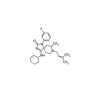 CC(C)=CCN1CCC2(CC1C)C(NC1CCCCC1)=NC(=O)N2c1cccc(F)c1